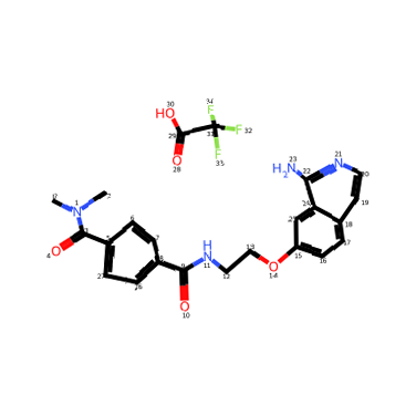 CN(C)C(=O)c1ccc(C(=O)NCCOc2ccc3ccnc(N)c3c2)cc1.O=C(O)C(F)(F)F